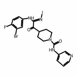 O=C(/C(=N/I)Nc1ccc(F)c(Br)c1)C1CCN(C(=O)Nc2cccnc2)CC1